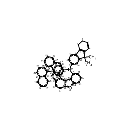 CC1(C)C2=C(CCC=C2)c2ccc(N(c3ccc(-c4cccc5ccccc45)cc3)c3cccc4oc5ccc6sc7c8ccccc8ccc7c6c5c34)cc21